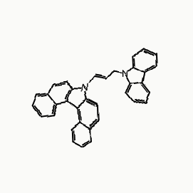 C(=C\n1c2ccc3ccccc3c2c2c3ccccc3ccc21)/Cn1c2ccccc2c2ccccc21